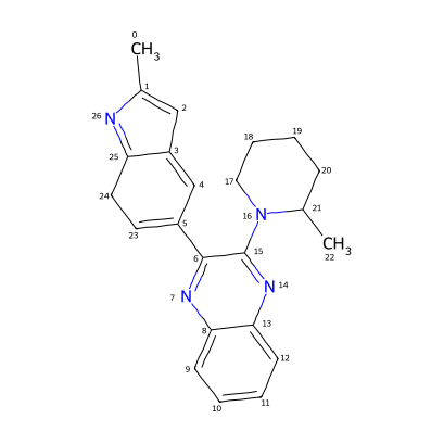 CC1=CC2=CC(c3nc4ccccc4nc3N3CCCCC3C)=CCC2=N1